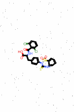 O=C(NC(Cc1ccc(N2C(=S)Nc3ccccc3S2(=O)=O)cc1)C(=O)O)c1c(Cl)cccc1Cl